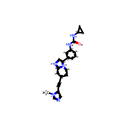 Cn1cncc1C#Cc1ccn2c(-c3cccc(NC(=O)NC4CC4)c3)cnc2c1